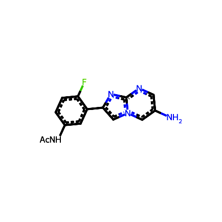 CC(=O)Nc1ccc(F)c(-c2cn3cc(N)cnc3n2)c1